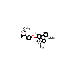 COC(=O)C[C@H](c1cccc(OCc2cc(C3=CCCC3(C)C)c(-c3cc(OC)ccc3F)cc2F)c1)C1CC1